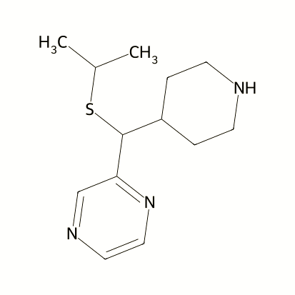 CC(C)SC(c1cnccn1)C1CCNCC1